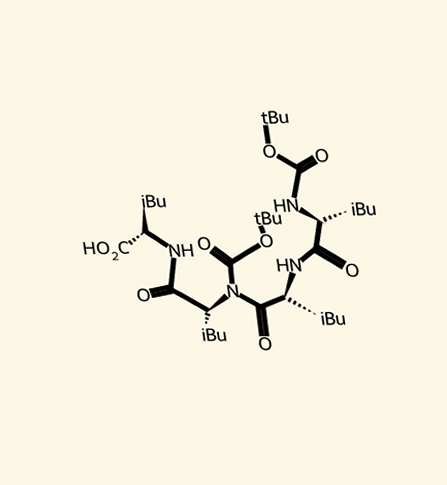 CC[C@H](C)[C@H](NC(=O)[C@H]([C@@H](C)CC)N(C(=O)OC(C)(C)C)C(=O)[C@@H](NC(=O)[C@@H](NC(=O)OC(C)(C)C)[C@@H](C)CC)[C@@H](C)CC)C(=O)O